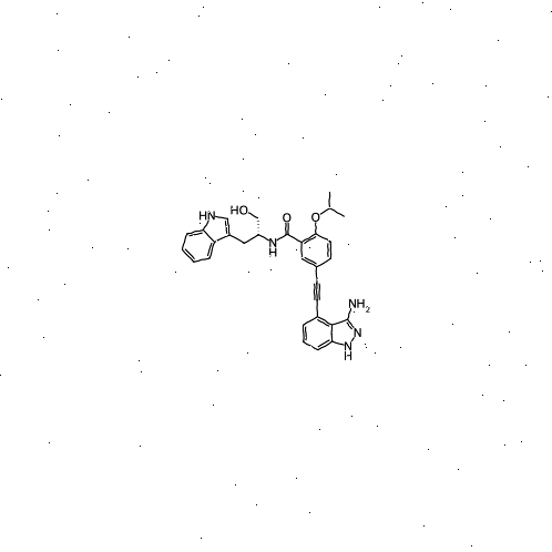 CC(C)Oc1ccc(C#Cc2cccc3[nH]nc(N)c23)cc1C(=O)N[C@@H](CO)Cc1c[nH]c2ccccc12